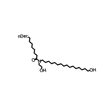 CCCCCCCCCCCCCCCCCC(=O)N(CCO)CCCCCCCCCCCCCCCCO